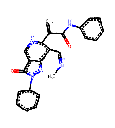 C=C(C(=O)Nc1ccccc1)c1[nH]cc2c(=O)n(-c3ccccc3)nc-2c1/C=N\C